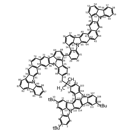 CC(C)(C)c1ccc2c(c1)c1cc(C(C)(C)C)cc3c4c5c6cc(C(C)(C)Cc7ccc8c9c(-c%10cccc%11c%10c%10cccc%12c%13cc%14c(ccc%15cc%16c(cc%15%14)c%14cccc%15c%17ccccc%17n%16c%15%14)cc%13n%11c%12%10)ccc%10c%11cc%12ccc%13cc%14c%15cccc%16c%17ccccc%17n(c%14cc%13c%12cc%11n(c8c7)c%109)c%16%15)ccc6n6c7ccc(C(C)(C)C)cc7c(cc4n2c13)c56